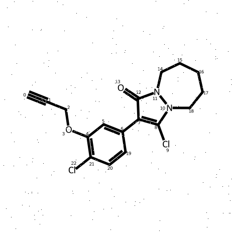 C#CCOc1cc(-c2c(Cl)n3n(c2=O)CCCCC3)ccc1Cl